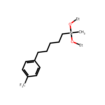 CCO[Si](C)(CCCCCc1ccc(C(F)(F)F)cc1)OCC